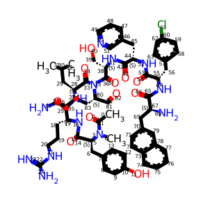 CC(=O)N(C)[C@@H](Cc1ccc(O)cc1)C(=O)N[C@H](CCCNC(=N)N)C(=O)N[C@@H](CC(C)C)C(=O)N(C(=O)[C@H](CO)NC(=O)[C@H](Cc1cccnc1)NC(=O)[C@H](Cc1ccc(Cl)cc1)NC(=O)[C@@H](N)Cc1ccc2ccccc2c1)[C@H]([C]=O)CCCCN